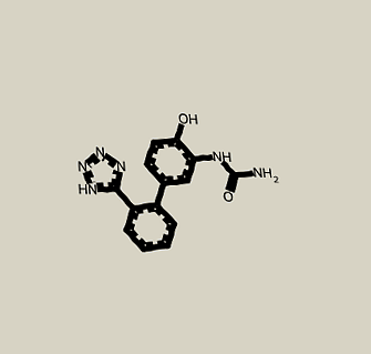 NC(=O)Nc1cc(-c2ccccc2-c2nnn[nH]2)ccc1O